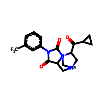 O=C(C1CC1)C1C[N@@]2CC3C(=O)N(c4cccc(C(F)(F)F)c4)C(=O)[N+]13C2